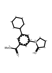 COC(=O)c1cc(C2CCCCC2)cc(N2CCCC2=O)c1